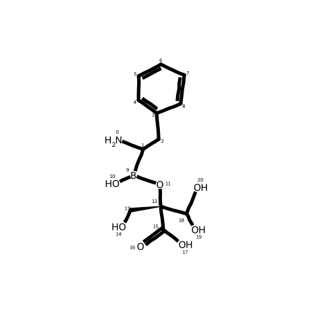 NC(Cc1ccccc1)B(O)O[C@@](CO)(C(=O)O)C(O)O